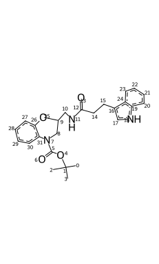 CC(C)(C)OC(=O)N1CC(CNC(=O)CCc2c[nH]c3ccccc23)Oc2ccccc21